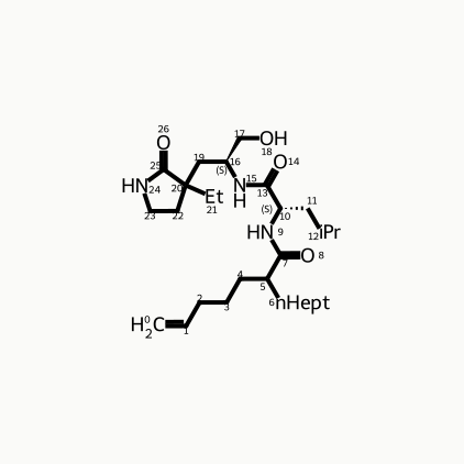 C=CCCCC(CCCCCCC)C(=O)N[C@@H](CC(C)C)C(=O)N[C@H](CO)CC1(CC)CCNC1=O